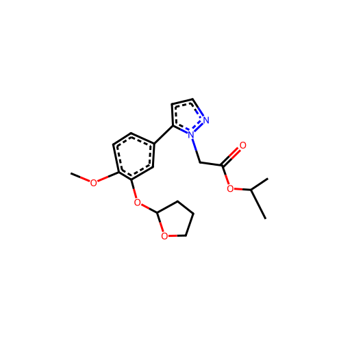 COc1ccc(-c2ccnn2CC(=O)OC(C)C)cc1OC1CCCO1